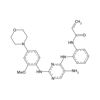 C=CC(=O)Nc1ccccc1Nc1nc(Nc2ccc(N3CCOCC3)cc2OC)ncc1N